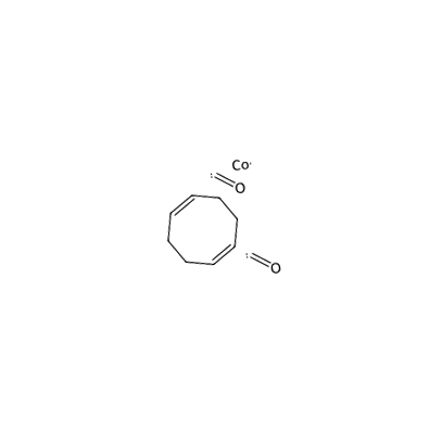 C1=C\CC/C=C\CC/1.[C]=O.[C]=O.[Co]